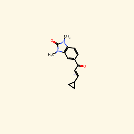 Cn1c(=O)n(C)c2cc(C(=O)/C=C/C3CC3)ccc21